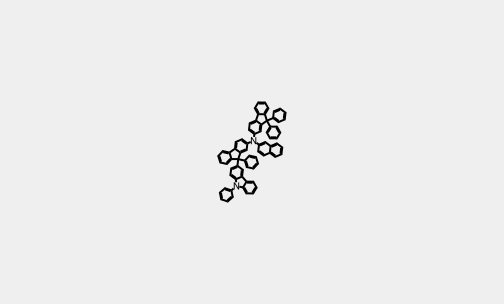 c1ccc(-n2c3ccccc3c3cc(C4(c5ccccc5)c5ccccc5-c5ccc(N(c6ccc7c(c6)C(c6ccccc6)(c6ccccc6)c6ccccc6-7)c6ccc7ccccc7c6)cc54)ccc32)cc1